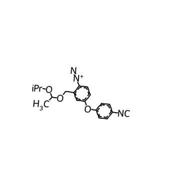 [C-]#[N+]c1ccc(Oc2ccc([N+]#N)c(COC(C)OC(C)C)c2)cc1